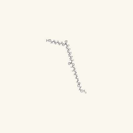 CCCOOCSCSCSCSCOC(=O)CSCSCSCSCC(=O)OCSCSCCO